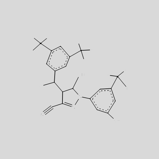 Cc1cc(N2N=C(C#N)C(C(O)c3cc(C(F)(F)F)cc(C(F)(F)F)c3)C2O)cc(C(F)(F)F)c1